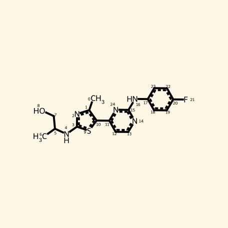 Cc1nc(NC(C)CO)sc1-c1ccnc(Nc2ccc(F)cc2)n1